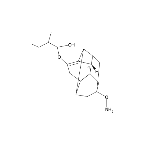 CCC(C)C(O)OC1=C2C3C4CC5(ON)CC(C4C1)[C@H]2C3C5